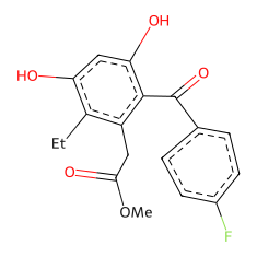 CCc1c(O)cc(O)c(C(=O)c2ccc(F)cc2)c1CC(=O)OC